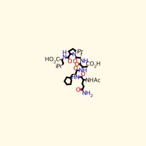 CC(=O)NC(CCC(N)=O)C(=O)N[C@@H](CC1CCCCC1)C(=O)NC(CC(=O)O)C(=O)N[C@@H](CC(C)C)C(=O)N1CCCC1C(=O)N[C@@H](CC(C)C)C(=O)O